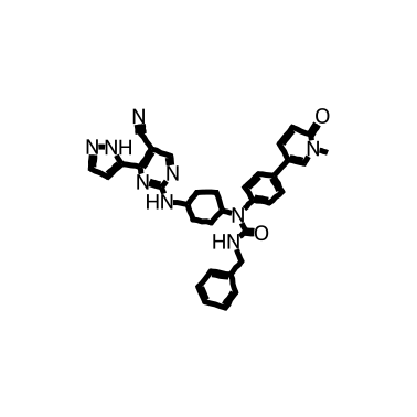 Cn1cc(-c2ccc(N(C(=O)NCc3ccccc3)C3CCC(Nc4ncc(C#N)c(-c5ccn[nH]5)n4)CC3)cc2)ccc1=O